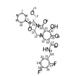 COC[C@H]1[C@H](c2ccccc2)OC2Cn3cc(C(=O)NCc4ccc(F)cc4F)c(=O)c(O)c3C(=O)N21